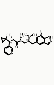 CN(C)[C@H](CNC(=O)C[C@@H](c1cccnc1)C1(C(F)(F)F)CC1)Cc1cc(F)c2[nH]ncc2c1